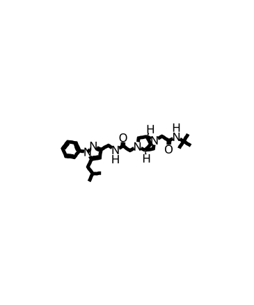 CC(C)Cc1cc(CNC(=O)CN2C[C@@H]3C[C@H]2CN3CC(=O)NC(C)(C)C)nn1-c1ccccc1